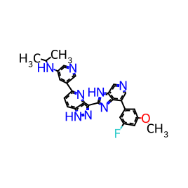 COc1cc(F)cc(-c2cncc3[nH]c(-c4n[nH]c5ccc(-c6cncc(NC(C)C)c6)nc45)nc23)c1